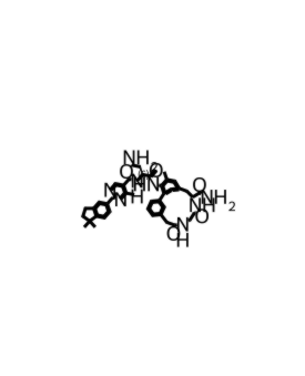 Cc1cc2cc(c1NC(=O)[C@H](CCN)NC(=O)c1cnc(-c3ccc4c(c3)CCC4(C)C)nc1C)-c1cccc(c1)CC(=O)NCC(=O)NC(C(N)=O)C2